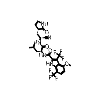 COc1ccc(C(F)(F)F)c2[nH]c(C(=O)N[C@@H](CC(C)C)C(=O)N[C@H](C#N)C[C@@H]3CCNC3=O)c(C(F)(F)F)c12